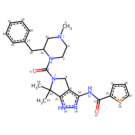 CN1CCN(C(=O)N2Cc3c(NC(=O)c4cccs4)n[nH]c3C2(C)C)C(Cc2ccccc2)C1